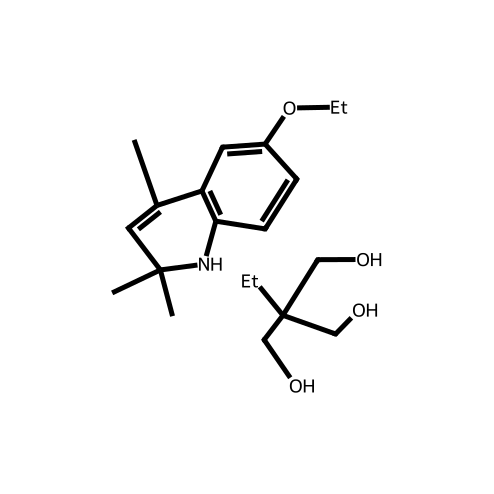 CCC(CO)(CO)CO.CCOc1ccc2c(c1)C(C)=CC(C)(C)N2